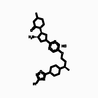 CC1CCN([C@H]2CN(c3ncc(OCC[C@@H](C)C4CCN(c5nc(C(C)C)no5)CC4)cn3)C[C@@H]2N)C(=O)C1.Cl